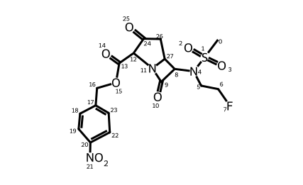 CS(=O)(=O)N(CCF)C1C(=O)N2C(C(=O)OCc3ccc([N+](=O)[O-])cc3)C(=O)CC12